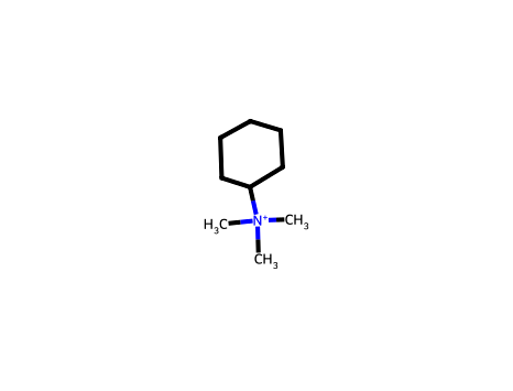 C[N+](C)(C)[C]1CCCCC1